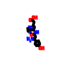 NC(CC(=O)NC(CCCC(=O)O)c1ncc[nH]1)c1ccc(O)cc1